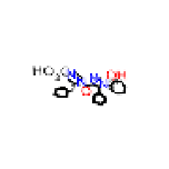 O=C(O)N1CCN(C(=O)c2ncn([C@H]3CCCCC[C@H]3O)c2-c2ccccc2)[C@H](Cc2ccccc2)C1